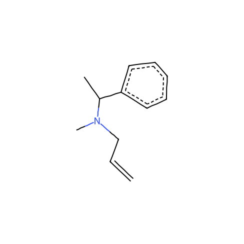 C=CCN(C)C(C)c1ccccc1